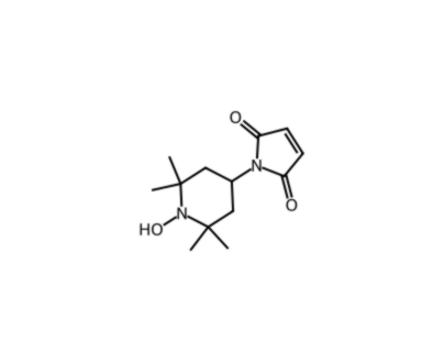 CC1(C)CC(N2C(=O)C=CC2=O)CC(C)(C)N1O